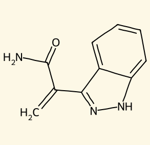 C=C(C(N)=O)c1n[nH]c2ccccc12